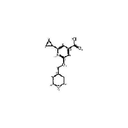 O=C(Cl)c1cc(OCC2CCOCC2)nc(C2CC2)c1